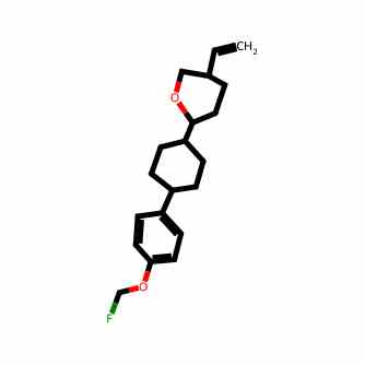 C=CC1CCC(C2CCC(c3ccc(OCF)cc3)CC2)OC1